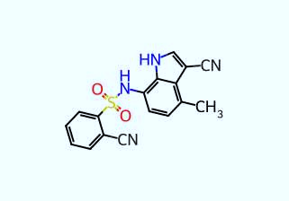 Cc1ccc(NS(=O)(=O)c2ccccc2C#N)c2[nH]cc(C#N)c12